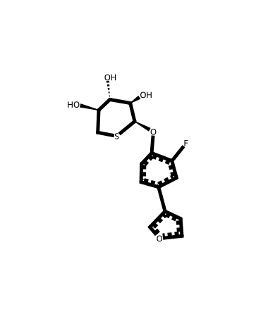 O[C@@H]1[C@@H](O)[C@@H](Oc2ccc(-c3ccoc3)cc2F)SC[C@H]1O